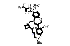 CCCc1cc(Cl)ccc1C1COc2ccc(S(=O)(=NC=O)NC(=O)NC(C)C)cc2N(C[C@@H]2CCC2C(/C=C/COC(C)(C)C)OC)C1